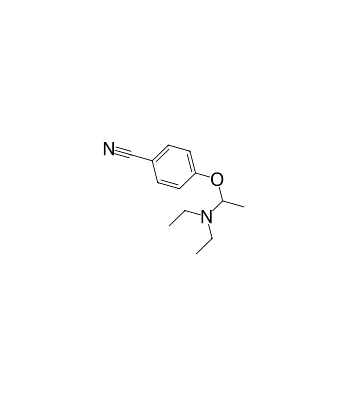 CCN(CC)C(C)Oc1ccc(C#N)cc1